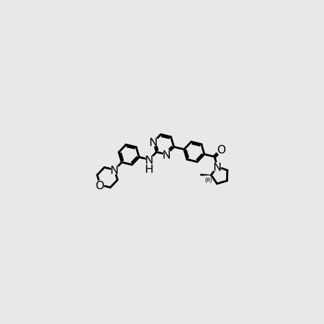 C[C@@H]1CCCN1C(=O)c1ccc(-c2ccnc(Nc3cccc(N4CCOCC4)c3)n2)cc1